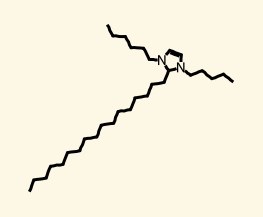 CCCCCCCCCCCCCCCCCC1N(CCCCC)C=CN1CCCCCC